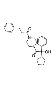 O=C(CCc1ccccc1)N1CCN(C(=O)C(O)(c2ccccc2)C2CCCC2)CC1